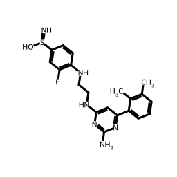 Cc1cccc(-c2cc(NCCNc3ccc(S(=N)O)cc3F)nc(N)n2)c1C